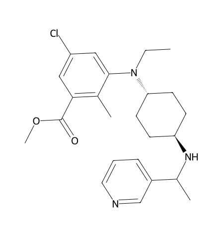 CCN(c1cc(Cl)cc(C(=O)OC)c1C)[C@H]1CC[C@H](NC(C)c2cccnc2)CC1